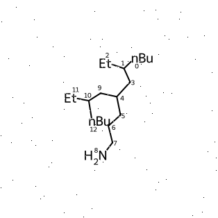 CCCCC(CC)CC(CCCN)CC(CC)CCCC